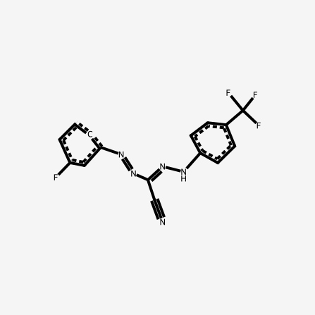 N#CC(N=Nc1cccc(F)c1)=NNc1ccc(C(F)(F)F)cc1